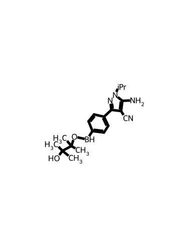 CC(C)n1nc(-c2ccc(BOC(C)(C)C(C)(C)O)cc2)c(C#N)c1N